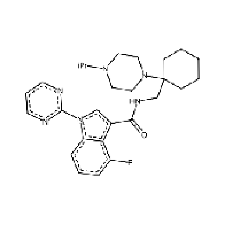 CC(C)N1CCN(C2(CNC(=O)c3cn(-c4ncccn4)c4cccc(F)c34)CCCCC2)CC1